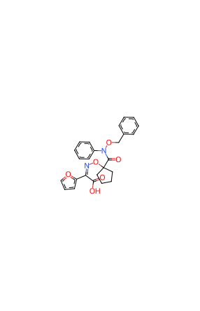 O=C(O)/C(=N\OC1(C(=O)N(OCc2ccccc2)c2ccccc2)CCCC1)c1ccco1